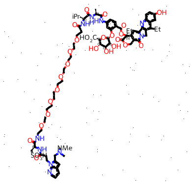 CCc1c2c(nc3ccc(O)cc13)-c1cc3c(c(=O)n1C2)COC(=O)[C@@]3(CC)OC(=O)c1ccc(NC(=O)[C@H](C)NC(=O)[C@@H](NC(=O)CCOCCOCCOCCOCCOCCOCCOCCOCCNC(=O)[C@H](CS(=O)(=O)O)NC(=O)CCn2c(CN(C)NC)cc3cccnc32)C(C)C)cc1O[C@@H]1O[C@H](C(=O)O)[C@@H](O)[C@H](O)[C@H]1O